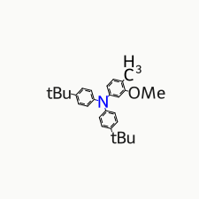 COc1cc(N(c2ccc(C(C)(C)C)cc2)c2ccc(C(C)(C)C)cc2)ccc1C